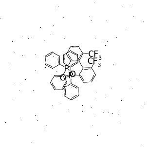 O=P(c1ccccc1)(c1ccccc1)c1cccc(C(F)(F)F)c1-c1c(C(F)(F)F)cccc1P(=O)(c1ccccc1)c1ccccc1